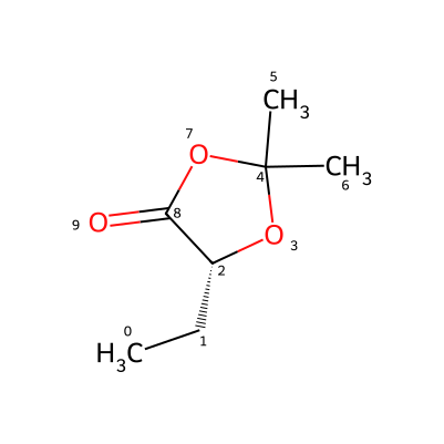 CC[C@H]1OC(C)(C)OC1=O